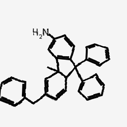 CC12C=C(Cc3ccccc3)C=CC1C(c1ccccc1)(c1ccccc1)c1ccc(N)cc12